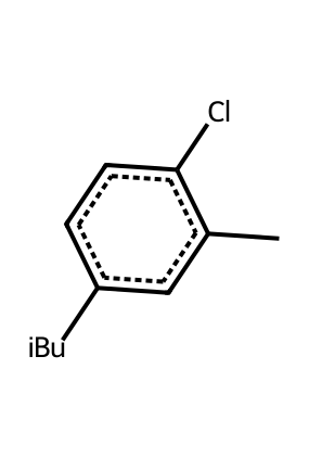 CCC(C)c1ccc(Cl)c(C)c1